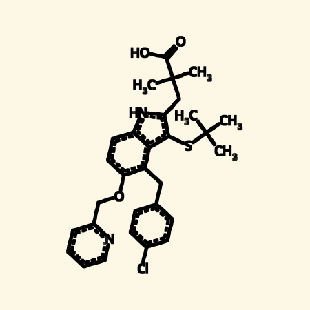 CC(C)(C)Sc1c(CC(C)(C)C(=O)O)[nH]c2ccc(OCc3ccccn3)c(Cc3ccc(Cl)cc3)c12